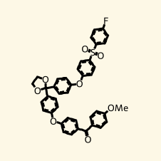 COc1ccc(C(=O)c2ccc(Oc3ccc(C4(c5ccc(Oc6ccc(S(=O)(=O)c7ccc(F)cc7)cc6)cc5)OCCO4)cc3)cc2)cc1